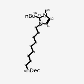 CCCCCCCCCCCCCCCCCCCN1C=CN(C)C1CCCC